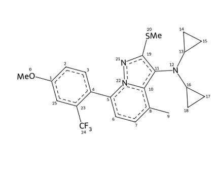 COc1ccc(-c2ccc(C)c3c(N(C4CC4)C4CC4)c(SC)nn23)c(C(F)(F)F)c1